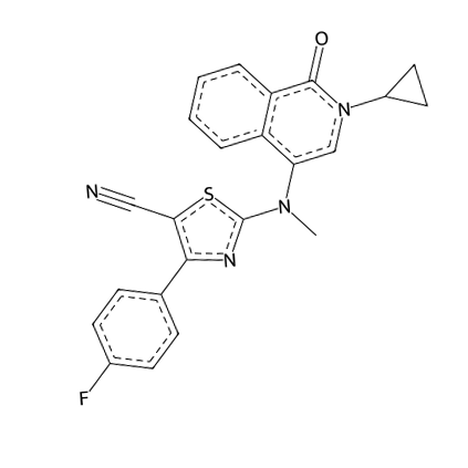 CN(c1nc(-c2ccc(F)cc2)c(C#N)s1)c1cn(C2CC2)c(=O)c2ccccc12